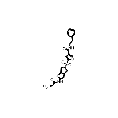 C=CC(=O)NC1CC2CN(S(=O)(=O)c3cc(C(=O)NCCc4ccccc4)co3)CC2S1